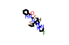 O=C(NC1=NC2(c3cccs3)CN(c3ncc(F)cn3)C[C@H]2CS1)c1ccccc1